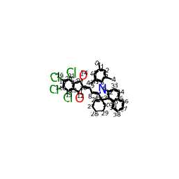 Cc1cc(C)c(N2/C(=C\C=C3C(=O)c4c(Cl)c(Cl)c(Cl)c(Cl)c4C3=O)C3(CCCCC3)c3c2ccc2ccccc32)c(C)c1